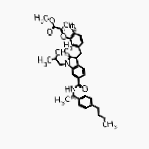 CCCCc1ccc([C@H](C)NC(=O)c2ccc3c(c2)N(CC(C)C)C(C)C3Cc2ccc(Cl)c(O[C@H](C)C(=O)OC)c2)cc1